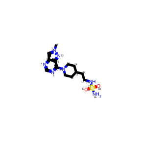 Cn1cc2ncnc(N3CCC(CCNS(N)(=O)=O)CC3)c2n1